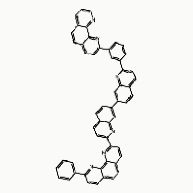 c1ccc(-c2ccc3ccc4ccc(-c5ccc6ccc(-c7ccc8ccc(-c9cccc(-c%10ccc%11ccc%12cccnc%12c%11n%10)c9)nc8c7)cc6n5)nc4c3n2)cc1